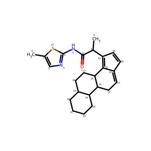 Cc1cnc(NC(=O)C(C)C2=C3C(=CCC4C3CCC3CCCCC34)C=C2)s1